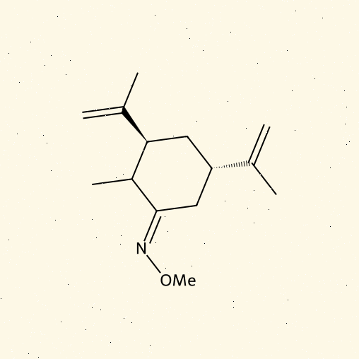 C=C(C)[C@@H]1C/C(=N\OC)C(C)[C@@H](C(=C)C)C1